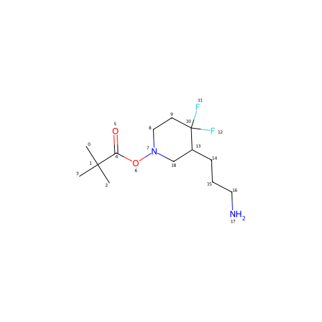 CC(C)(C)C(=O)ON1CCC(F)(F)C(CCCN)C1